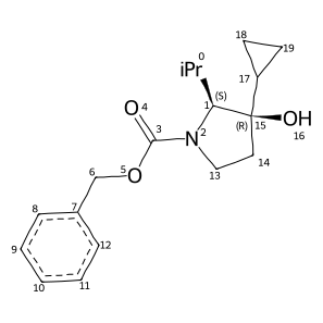 CC(C)[C@@H]1N(C(=O)OCc2ccccc2)CC[C@@]1(O)C1CC1